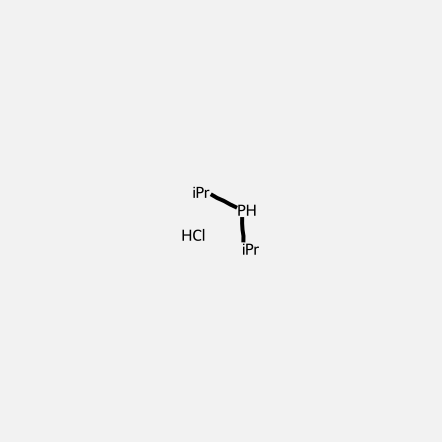 CC(C)PC(C)C.Cl